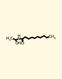 CCCCCCCCCC(=O)NC(C)O